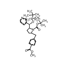 COC(=O)c1ccc(CC2CCC([C@H](O[Si](C)(C)C(C)(C)C)c3cccnc3)N2C(=O)OC(C)(C)C)cc1